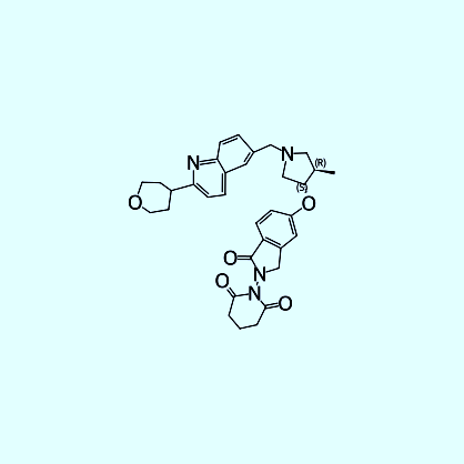 C[C@@H]1CN(Cc2ccc3nc(C4CCOCC4)ccc3c2)C[C@H]1Oc1ccc2c(c1)CN(N1C(=O)CCCC1=O)C2=O